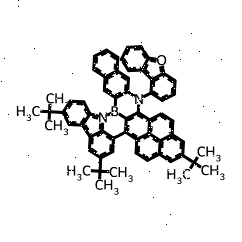 CC(C)(C)c1cc2ccc3c4c5c(c6ccc(c1)c2c36)N(c1cccc2oc3ccccc3c12)c1cc2ccccc2cc1B5n1c2ccc(C(C)(C)C)cc2c2cc(C(C)(C)C)cc-4c21